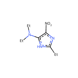 CCc1nc([N+](=O)[O-])c(N(CC)CC)[nH]1